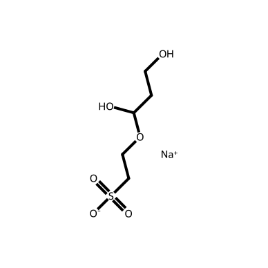 O=S(=O)([O-])CCOC(O)CCO.[Na+]